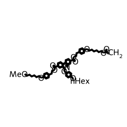 C=CC(=O)OCCCCCCOc1ccc(CCOC(=O)c2ccc3c(c2)nc(Oc2ccc(OCCCCCC)cc2)c2cc(C(=O)OCCc4ccc(OCCCCCCOC)cc4)ccc23)cc1